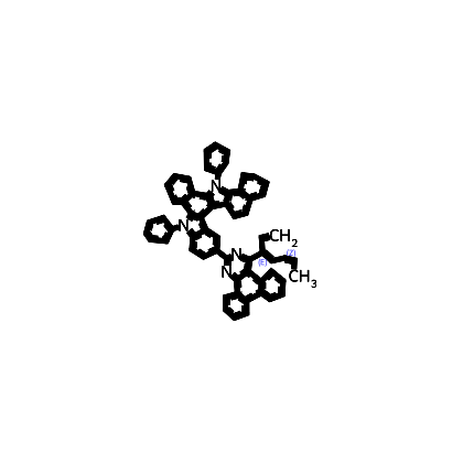 C=C/C(=C\C=C/C)c1nc(-c2ccc3c(c2)c2c4c5ccc6ccccc6c5n(-c5ccccc5)c4c4ccccc4c2n3-c2ccccc2)nc2c3ccccc3c3ccccc3c12